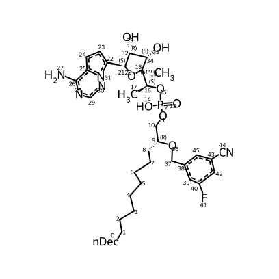 CCCCCCCCCCCCCCCCCC[C@H](COP(=O)(O)O[C@@H](C)[C@@]1(C)O[C@@H](c2ccc3c(N)ncnn23)[C@H](O)[C@@H]1O)OCc1cc(F)cc(C#N)c1